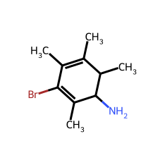 CC1=C(C)C(C)C(N)C(C)=C1Br